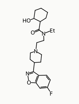 CCN(CCN1CCC(c2noc3cc(F)ccc23)CC1)C(=O)C1CCCCC1O